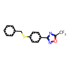 FC(F)(F)c1nc(-c2ccc(SCc3ccccc3)cc2)no1